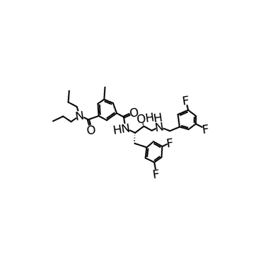 CCCN(CCC)C(=O)c1cc(C)cc(C(=O)N[C@@H](Cc2cc(F)cc(F)c2)[C@H](O)CNCc2cc(F)cc(F)c2)c1